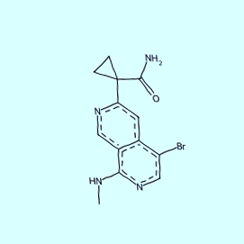 CNc1ncc(Br)c2cc(C3(C(N)=O)CC3)ncc12